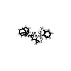 CC(=O)C12CC3CC(C1)C(NC(=O)CC1(NS(=O)(=O)c4ccccc4Br)CC1)C(C3)C2